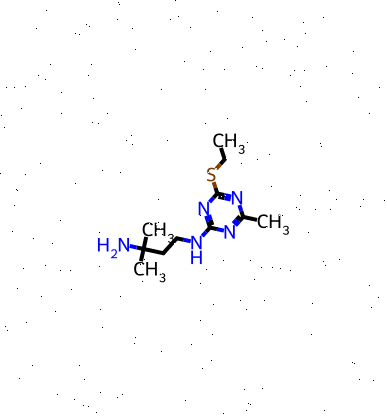 CCSc1nc(C)nc(NCCC(C)(C)N)n1